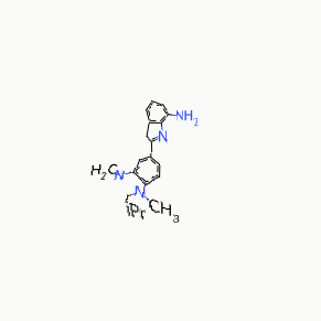 C=Nc1cc(C2=Nc3c(N)cccc3C2)ccc1N(C)CC(C)C